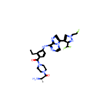 CCc1cc(Nc2nccn3c(-c4cn(CCF)nc4C(F)F)cnc23)ccc1C(=O)N1CCN(C(=O)[C@H](C)N)CC1